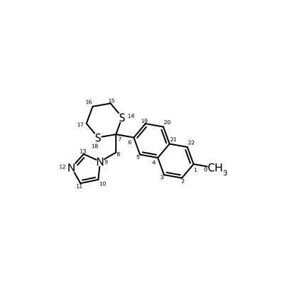 Cc1ccc2cc(C3(Cn4ccnc4)SCCCS3)ccc2c1